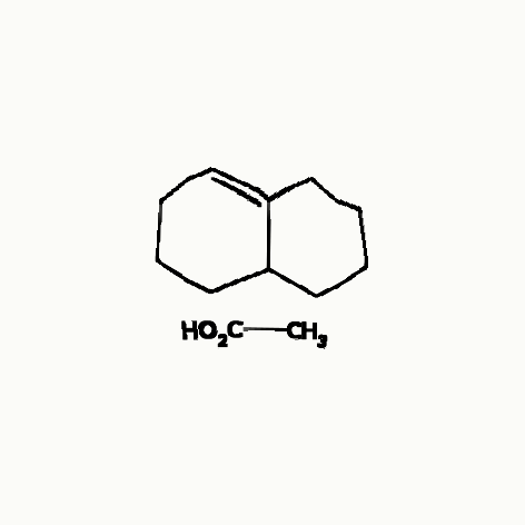 C1=C2CCCCC2CCC1.CC(=O)O